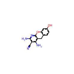 N#Cc1c(N)nc2c(c1N)Cc1ccc(O)cc1O2